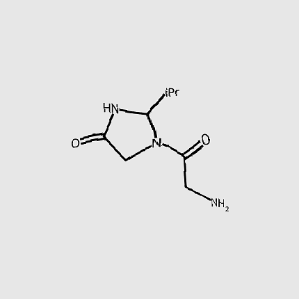 CC(C)C1NC(=O)CN1C(=O)CN